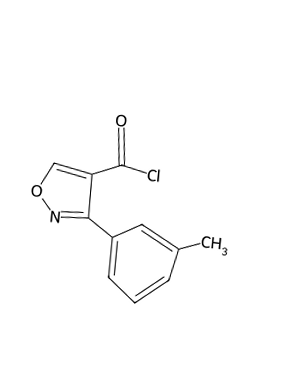 Cc1cccc(-c2nocc2C(=O)Cl)c1